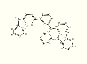 c1ccc(N(c2cccc(-c3ccc4sc5ccccc5c4c3)c2)c2cccc3c2oc2ccccc23)cc1